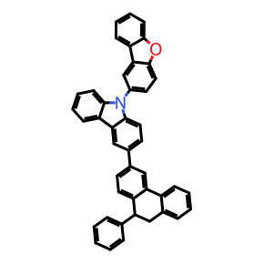 c1ccc(C2Cc3ccccc3-c3cc(-c4ccc5c(c4)c4ccccc4n5-c4ccc5oc6ccccc6c5c4)ccc32)cc1